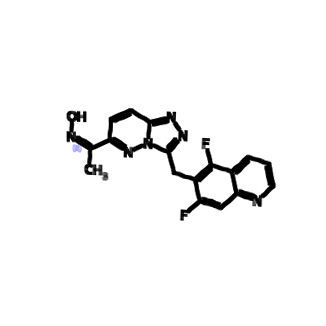 C/C(=N/O)c1ccc2nnc(Cc3c(F)cc4ncccc4c3F)n2n1